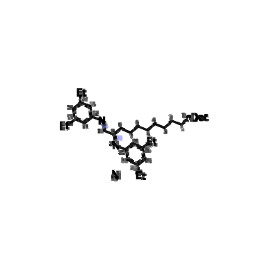 CCCCCCCCCCCCCCCCCCC(/C=N/c1cc(CC)cc(CC)c1)=N\c1cc(CC)cc(CC)c1.[Ni]